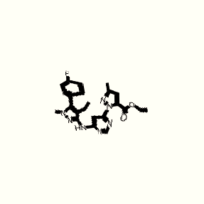 CCOC(=O)c1cc(C)nn1-c1cc(Nc2nn(C)c(-c3ccc(F)cc3)c2CC)ncn1